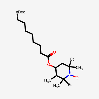 CCCCCCCCCCCCCCCCCC(=O)OC1CC(C)(CC)N([O])C(C)(CC)C1C